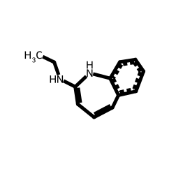 CCNC1=CC=Cc2ccccc2N1